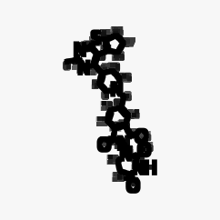 Cc1nc(C2=CCN(Cc3ccc4c(c3)C(=O)N(N3CCC(=O)NC3=O)C4=O)CC2)c2c3c(sc2n1)CCC3